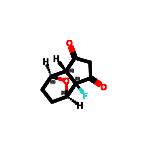 O=C1CC(=O)[C@]2(F)[C@H]3CC[C@H](O3)[C@H]12